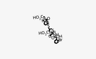 O=C(O)Cn1nc2ccc(SCC3=C(C(=O)O)N4C(=O)C(NC(=O)C(O)c5ccccc5Br)[C@@H]4SC3)nn2c1=O